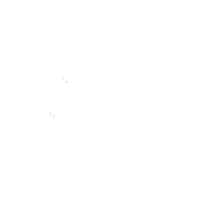 N#CC1=C(c2ccccc2)C(c2ccccc2)C=C2C=CC=CN21